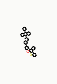 C=C(/C=C\c1cccc(-c2ccc3oc4c5sc6ccccc6c5c5ccccc5c4c3c2)c1)c1c2ccccc2c(-c2ccccc2)c2ccccc12